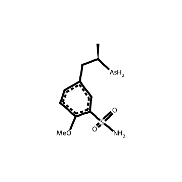 COc1ccc(C[C@@H](C)[AsH2])cc1S(N)(=O)=O